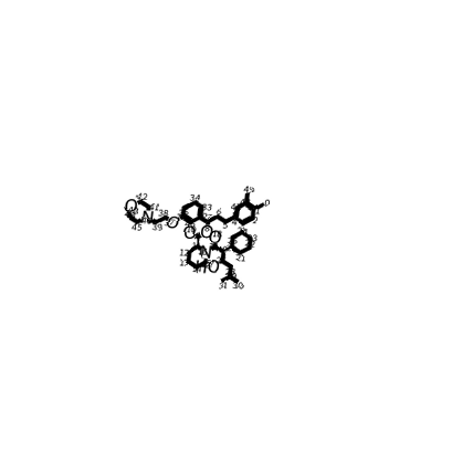 Cc1ccc(CCC(OC(=O)[C@@H]2CCCCN2C(=O)[C@@H](C2CCCCC2)[C@H](O)CC(C)C)c2cccc(OCCN3CCOCC3)c2)cc1C